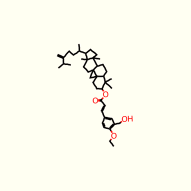 C=C(CCC(C)C1CCC2(C)C3CCC4C(C)(C)C(OC(=O)/C=C/c5ccc(OCC)c(CO)c5)CCC45CC35CCC12C)C(C)C